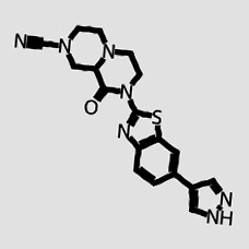 N#CN1CCN2CCN(c3nc4ccc(-c5cn[nH]c5)cc4s3)C(=O)C2C1